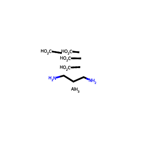 CC(=O)O.CC(=O)O.CC(=O)O.CC(=O)O.NCCCN.[AlH3]